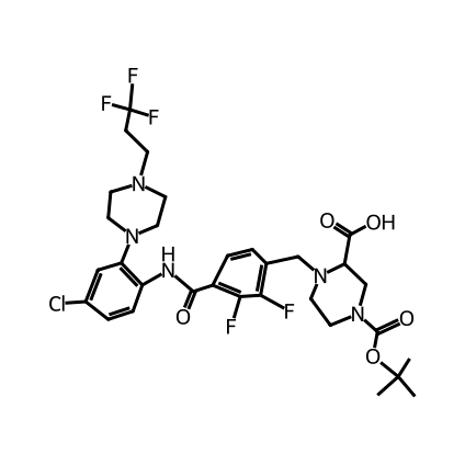 CC(C)(C)OC(=O)N1CCN(Cc2ccc(C(=O)Nc3ccc(Cl)cc3N3CCN(CCC(F)(F)F)CC3)c(F)c2F)C(C(=O)O)C1